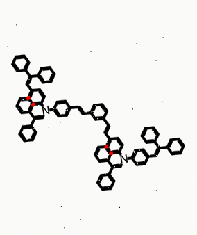 C(=C(c1ccccc1)c1ccccc1)c1ccc(N(C=C(c2ccccc2)c2ccccc2)c2ccc(/C=C/c3cccc(/C=C/c4ccc(N(C=C(c5ccccc5)c5ccccc5)c5ccc(C=C(c6ccccc6)c6ccccc6)cc5)cc4)c3)cc2)cc1